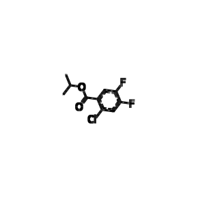 CC(C)OC(=O)c1cc(F)c(F)cc1Cl